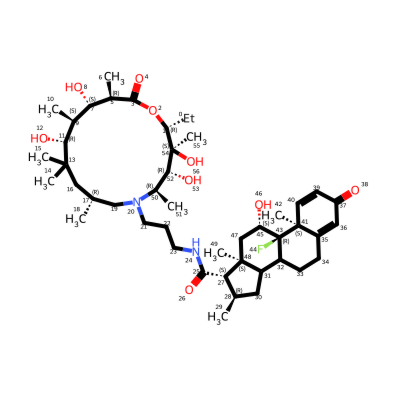 CC[C@H]1OC(=O)[C@H](C)[C@@H](O)[C@H](C)[C@@H](O)C(C)(C)C[C@@H](C)CN(CCCNC(=O)[C@H]2[C@H](C)CC3C4CCC5=CC(=O)C=C[C@]5(C)[C@@]4(F)[C@@H](O)C[C@@]32C)[C@H](C)[C@@H](O)[C@]1(C)O